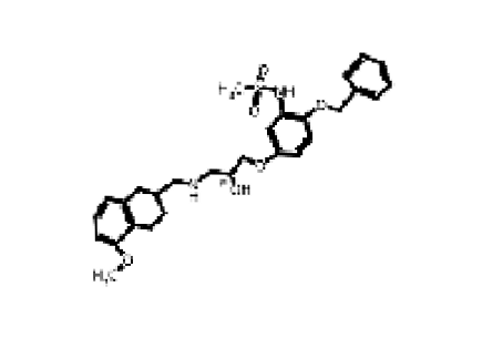 COc1cccc2c1CCC(CNC[C@H](O)COc1ccc(OCc3ccccc3)c(NS(C)(=O)=O)c1)C2